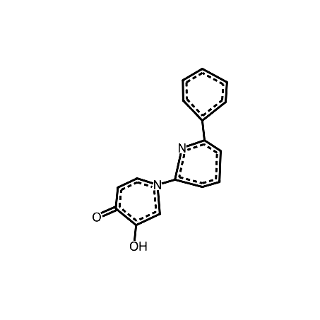 O=c1ccn(-c2cccc(-c3ccccc3)n2)cc1O